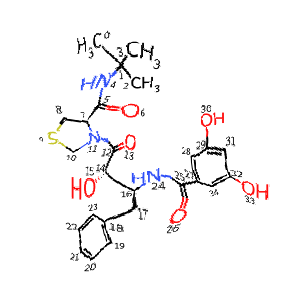 CC(C)(C)NC(=O)[C@@H]1CSCN1C(=O)[C@@H](O)[C@H](Cc1ccccc1)NC(=O)c1cc(O)cc(O)c1